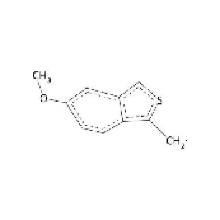 [CH2]c1scc2cc(OC)ccc12